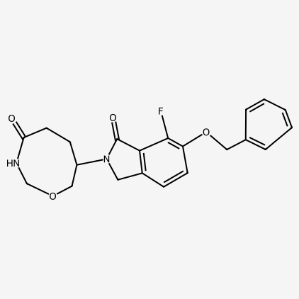 O=C1CCC(N2Cc3ccc(OCc4ccccc4)c(F)c3C2=O)COCN1